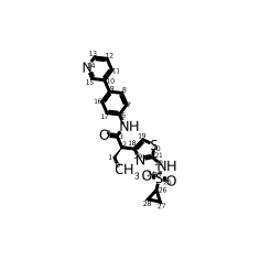 CC[C@@H](C(=O)Nc1ccc(-c2cccnc2)cc1)c1csc(NS(=O)(=O)C2CC2)n1